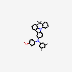 COc1ccc(N(c2cc(C)cc(C)c2)c2ccc3c(c2)c2cccc4c2n3-c2ccccc2C4(C)C)cc1